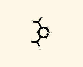 CC(C)c1cncc(C(C)I)c1